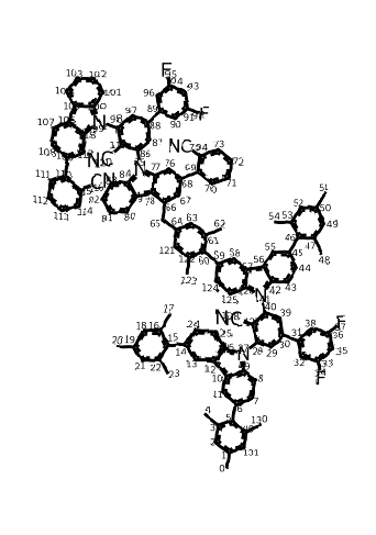 Cc1cc(C)c(-c2ccc3c(c2)c2cc(-c4c(C)cc(C)cc4C)ccc2n3-c2cc(-c3cc(F)cc(F)c3)cc(-n3c4ccc(-c5c(C)cc(C)cc5C)cc4c4cc(-c5c(C)cc(Cc6cc(-c7ccccc7C#N)cc7c6c6ccccc6n7-c6cc(-c7cc(F)cc(F)c7)cc(-n7c8ccccc8c8ccc(-c9ccccc9C#N)cc87)c6C#N)cc5C)ccc43)c2C#N)c(C)c1